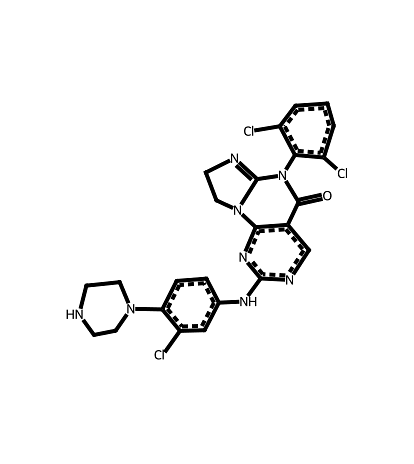 O=C1c2cnc(Nc3ccc(N4CCNCC4)c(Cl)c3)nc2N2CCN=C2N1c1c(Cl)cccc1Cl